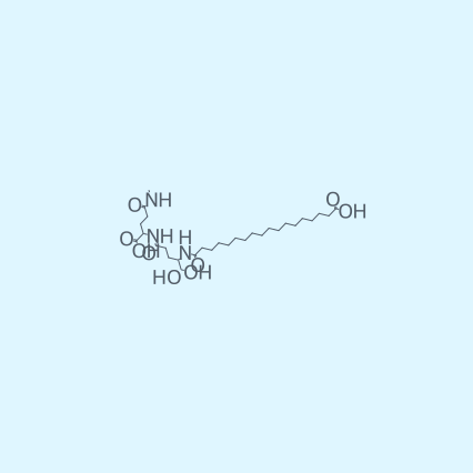 CNC(=O)CCC(NC(=O)CCC(NC(=O)CCCCCCCCCCCCCCCCC(=O)O)C(O)O)C(=O)O